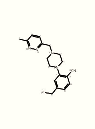 Cc1ccc(CN2CCN(c3cc(CC(C)C)ccc3C#N)CC2)nn1